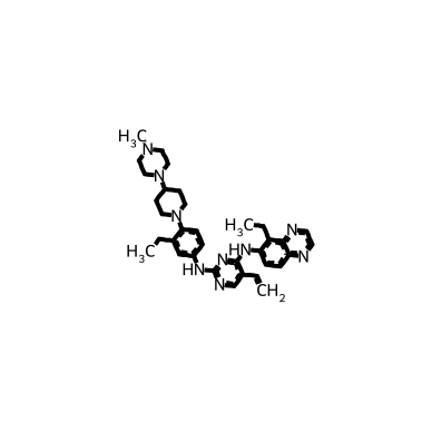 C=Cc1cnc(Nc2ccc(N3CCC(N4CCN(C)CC4)CC3)c(CC)c2)nc1Nc1ccc2nccnc2c1CC